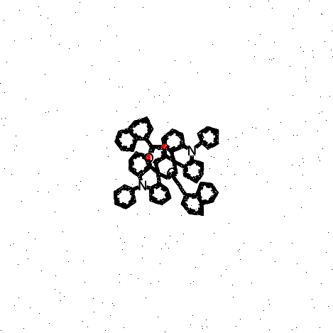 c1ccc(N2c3ccccc3C3(c4ccccc42)c2cc(-c4cccc5ccccc45)oc2C2(c4ccccc4N(c4ccccc4)c4ccccc42)c2cc(-c4cccc5ccccc45)oc23)cc1